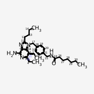 C/C=c1\c(=C/C)nc(N)c2nc(CCCC)n(Cc3ccc(CNC(=O)CCCCCC)cc3)c12